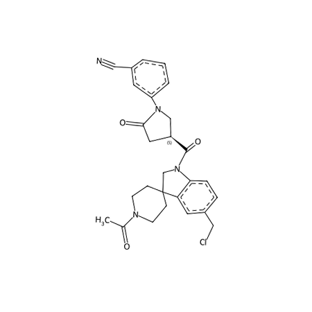 CC(=O)N1CCC2(CC1)CN(C(=O)[C@H]1CC(=O)N(c3cccc(C#N)c3)C1)c1ccc(CCl)cc12